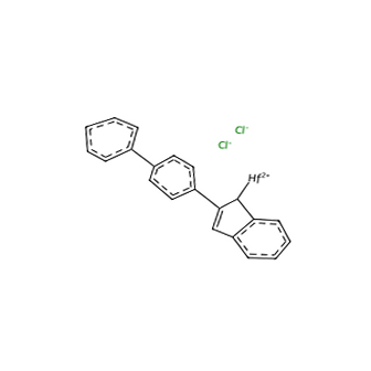 [Cl-].[Cl-].[Hf+2][CH]1C(c2ccc(-c3ccccc3)cc2)=Cc2ccccc21